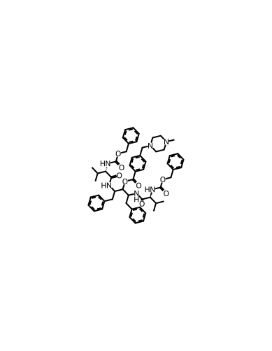 CC(C)[C@H](NC(=O)OCc1ccccc1)C(=O)NC(Cc1ccccc1)C(OC(=O)c1ccc(CN2CCN(C)CC2)cc1)C(Cc1ccccc1)NC(=O)[C@@H](NC(=O)OCc1ccccc1)C(C)C